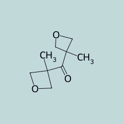 CC1(C(=O)C2(C)COC2)COC1